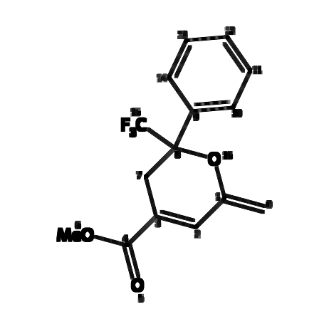 C=C1C=C(C(=O)OC)CC(c2ccccc2)(C(F)(F)F)O1